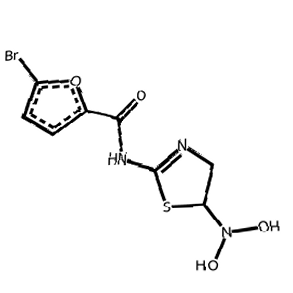 O=C(NC1=NCC(N(O)O)S1)c1ccc(Br)o1